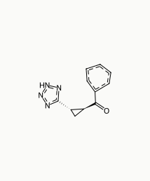 O=C(c1ccccc1)[C@H]1C[C@@H]1c1nn[nH]n1